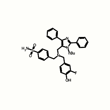 CCCCn1c(-c2ccccc2)nc(-c2ccccc2)c1CN(Cc1ccc(S(N)(=O)=O)cc1)Cc1ccc(O)c(F)c1